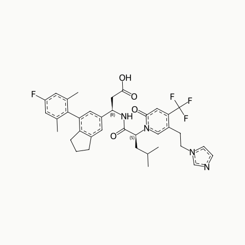 Cc1cc(F)cc(C)c1-c1cc([C@@H](CC(=O)O)NC(=O)[C@H](CC(C)C)n2cc(CCn3ccnc3)c(C(F)(F)F)cc2=O)cc2c1CCC2